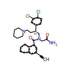 C#Cc1cc(C(=O)N(CC(N)=O)C[C@@H](CCN2CCCCC2)c2ccc(Cl)c(Cl)c2)c2ccccc2c1